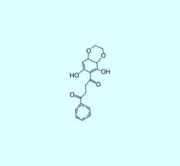 O=C(CCC(=O)c1ccccc1)C1=C(O)C2OCCOC2C=C1O